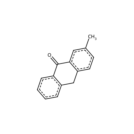 Cc1ccc2c(c1)C(=O)c1ccccc1C2